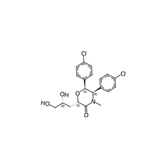 CN1C(=O)[C@H](C[C@@H](O)CO)O[C@@H](c2ccc(Cl)cc2)[C@H]1c1ccc(Cl)cc1